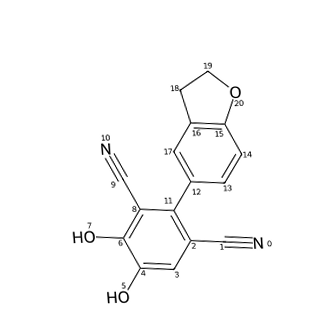 N#Cc1cc(O)c(O)c(C#N)c1-c1ccc2c(c1)CCO2